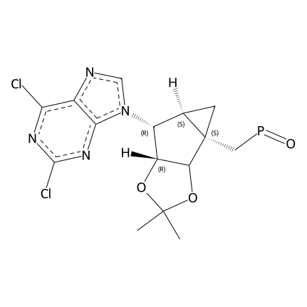 CC1(C)OC2[C@H](O1)[C@H](n1cnc3c(Cl)nc(Cl)nc31)[C@H]1C[C@@]21CP=O